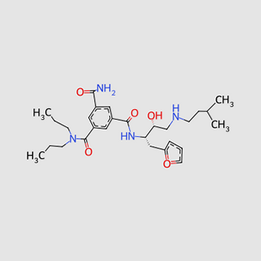 CCCN(CCC)C(=O)c1cc(C(N)=O)cc(C(=O)N[C@@H](Cc2ccco2)[C@H](O)CNCCC(C)C)c1